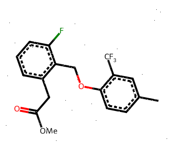 COC(=O)Cc1cccc(F)c1COc1ccc(C)cc1C(F)(F)F